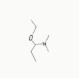 CCOC(CC)N(C)C